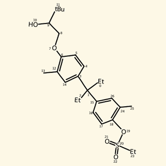 CCC(CC)(c1ccc(OCC(O)C(C)(C)C)c(C)c1)c1ccc(OS(=O)(=O)CC)c(C)c1